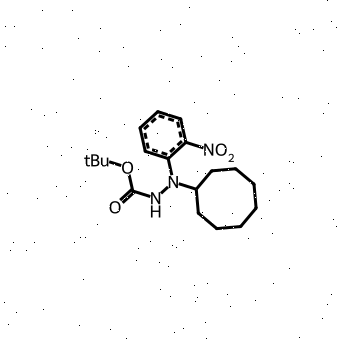 CC(C)(C)OC(=O)NN(c1ccccc1[N+](=O)[O-])C1CCCCCCC1